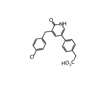 O=C(O)Cc1ccc(-c2c[nH]c(=O)c(Cc3ccc(Cl)cc3)c2)cc1